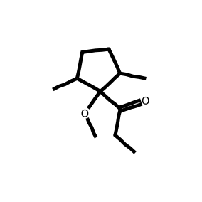 CCC(=O)C1(OC)C(C)CCC1C